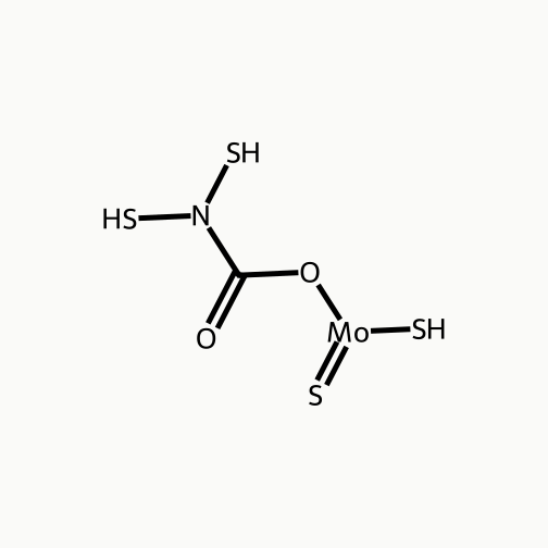 O=C([O][Mo](=[S])[SH])N(S)S